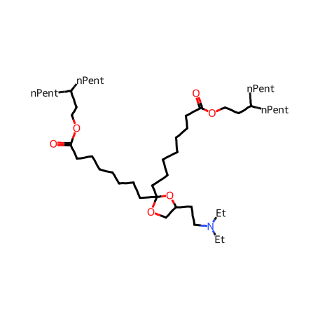 CCCCCC(CCCCC)CCOC(=O)CCCCCCCC1(CCCCCCCC(=O)OCCC(CCCCC)CCCCC)OCC(CCN(CC)CC)O1